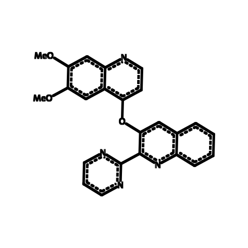 COc1cc2nccc(Oc3cc4ccccc4nc3-c3ncccn3)c2cc1OC